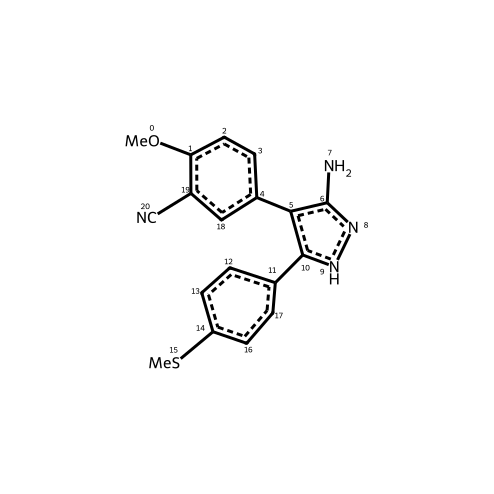 COc1ccc(-c2c(N)n[nH]c2-c2ccc(SC)cc2)cc1C#N